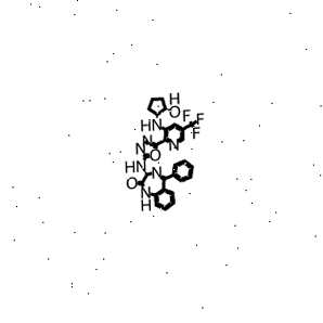 O=C1Nc2ccccc2C(c2ccccc2)=N[C@@H]1Nc1nnc(-c2ncc(C(F)(F)F)cc2N[C@@H]2CCC[C@@H]2O)o1